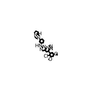 COc1cc(OC)c(Cl)c(-c2cc3cnc(Nc4cccc(N5CCN6CCC[C@@H]6C5)c4)nc3n3cnnc23)c1